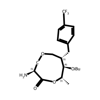 CC(C)CO[C@@H]1[C@@H](Cc2ccc(C(F)(F)F)cc2)COC[C@H](N)C(=O)O[C@H]1C